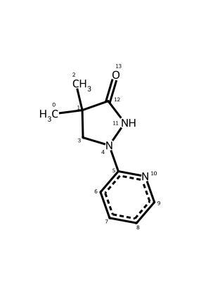 CC1(C)CN(c2ccccn2)NC1=O